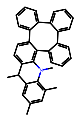 Cc1cc(C)c2c(c1)C(C)c1ccc3c(c1N2C)-c1ccccc1-c1ccccc1-c1ccccc1-3